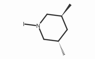 C[C@H]1C[C@H](C)CN(I)C1